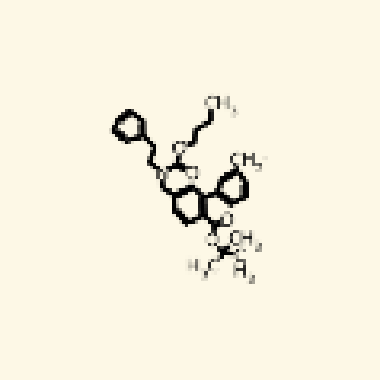 [CH2]c1cccc(-c2[c]c(CN(CCc3ccccc3)C(=O)OCCCC)ccc2C(=O)OC(C)(C)C)c1